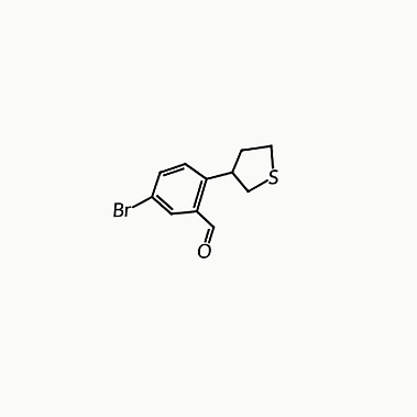 O=Cc1cc(Br)ccc1C1CCSC1